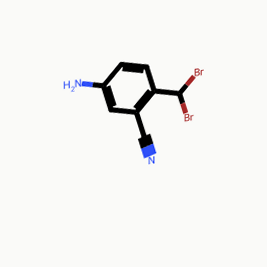 N#Cc1cc(N)ccc1C(Br)Br